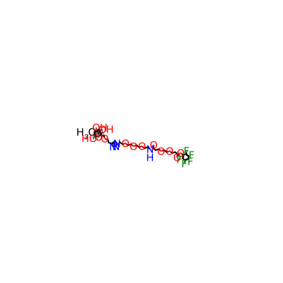 C[C@@H]1[C@@H](O)[C@@H](O)[C@@H](COCCc2cn(CCOCCOCCOCCNC(=O)CCOCCOCCC(=O)Oc3c(F)c(F)c(F)c(F)c3F)nn2)O[C@H]1O